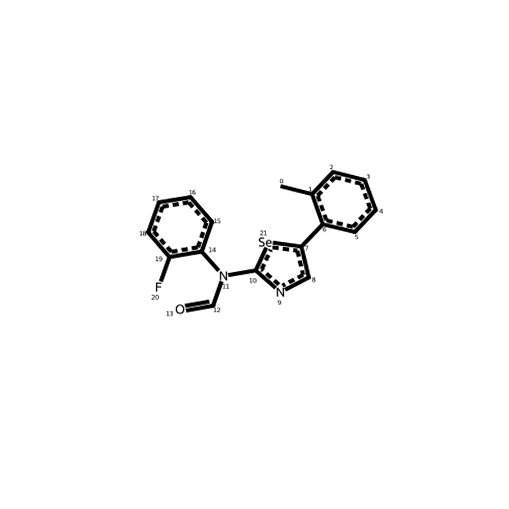 Cc1ccccc1-c1cnc(N(C=O)c2ccccc2F)[se]1